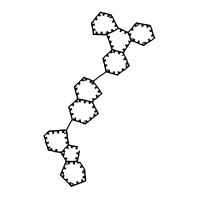 c1ccc2c(c1)sc1c(-c3ccc4cc(-c5ccc6c7ccccc7c7ccccc7c6c5)ccc4c3)cccc12